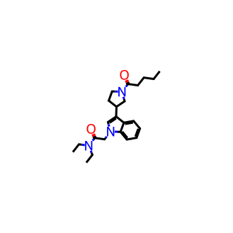 CCCCC(=O)N1CCC(c2cn(CC(=O)N(CC)CC)c3ccccc23)C1